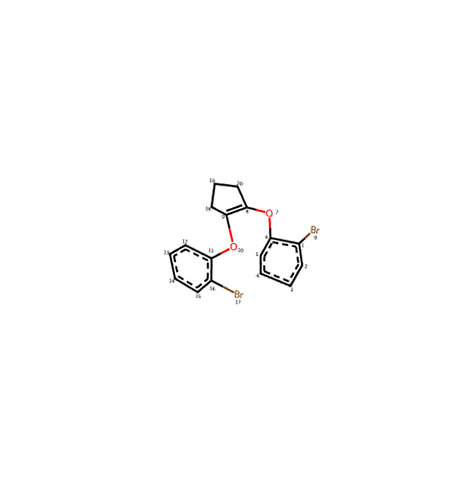 Brc1ccccc1OC1=C(Oc2ccccc2Br)CCC1